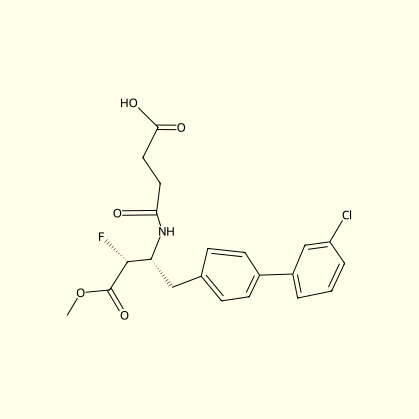 COC(=O)[C@H](F)[C@@H](Cc1ccc(-c2cccc(Cl)c2)cc1)NC(=O)CCC(=O)O